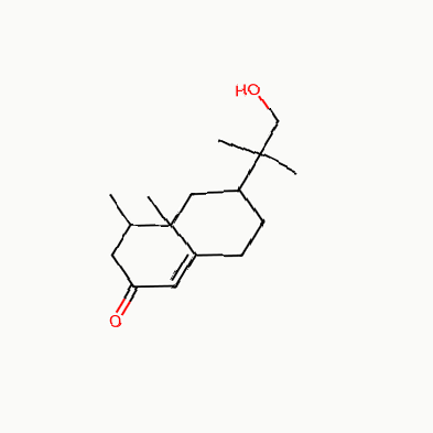 CC1CC(=O)C=C2CCC(C(C)(C)CO)CC21C